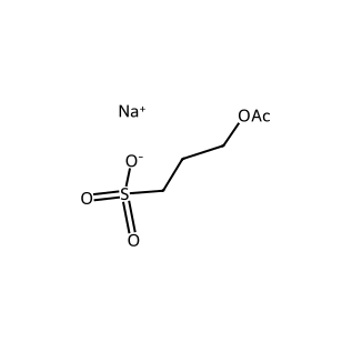 CC(=O)OCCCS(=O)(=O)[O-].[Na+]